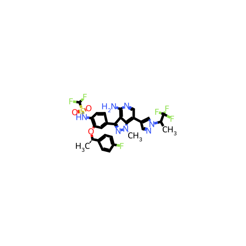 CC(n1cc(-c2cnc(N)c3c(-c4ccc(NS(=O)(=O)C(F)F)c(O[C@@H](C)c5ccc(F)cc5)c4)nn(C)c23)cn1)C(F)(F)F